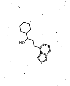 OC(CCc1cccn2cncc12)C1CCCCC1